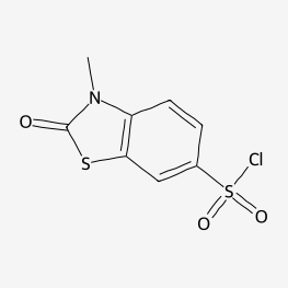 Cn1c(=O)sc2cc(S(=O)(=O)Cl)ccc21